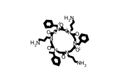 CC(c1ccccc1)N1CC(=O)N(CCCN)CC(=O)N([C@@H](C)c2ccccc2)CC(=O)N(CCCN)CC(=O)N([C@@H](C)c2ccccc2)CC(=O)N(CCCN)CC1=O